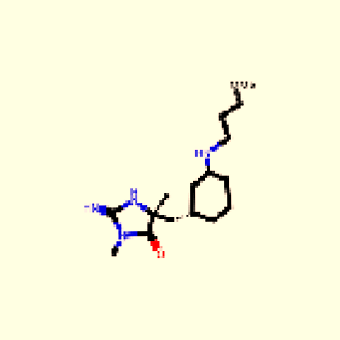 COCCCN[C@H]1CCC[C@H](C[C@@]2(C)NC(=N)N(C)C2=O)C1